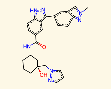 Cn1cc2cc(-c3n[nH]c4ccc(C(=O)N[C@H]5CCC[C@@](O)(Cn6cccn6)C5)cc34)ccc2n1